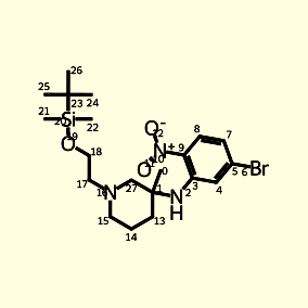 CC1(Nc2cc(Br)ccc2[N+](=O)[O-])CCCN(CCO[Si](C)(C)C(C)(C)C)C1